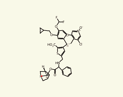 O=C(O)c1sc(CNC(C(=O)O[C@H]2CN3CCC2CC3)c2ccccc2)cc1[C@@H](Cc1c(Cl)c[n+]([O-])cc1Cl)c1ccc(OC(F)F)c(OCC2CC2)c1